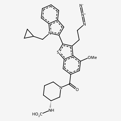 COc1cc(C(=O)N2CCC[C@@H](NC(=O)O)C2)cc2sc(-c3cc4ccccc4n3CC3CC3)c(CCN=[N+]=[N-])c12